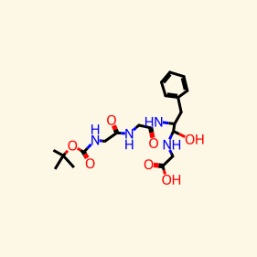 CC(C)(C)OC(=O)NCC(=O)NCC(=O)NC(Cc1ccccc1)C(O)NCC(=O)O